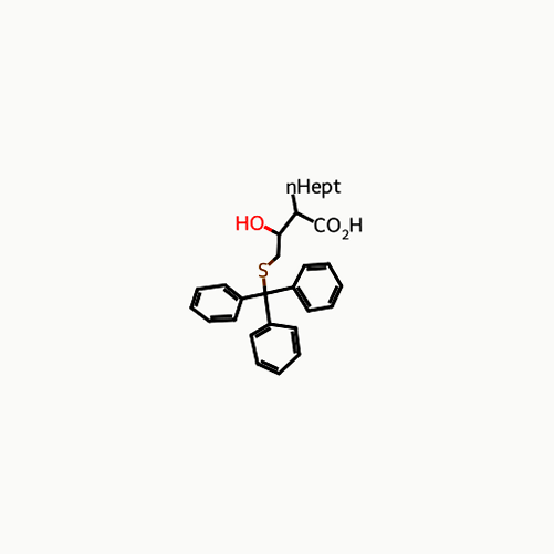 CCCCCCCC(C(=O)O)C(O)CSC(c1ccccc1)(c1ccccc1)c1ccccc1